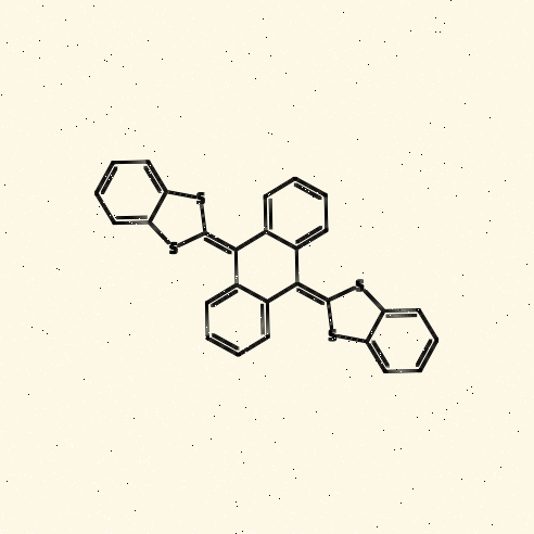 c1ccc2c(c1)SC(=c1c3ccccc3c(=C3Sc4ccccc4S3)c3ccccc13)S2